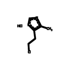 Cc1ncsc1CCCl.Cl